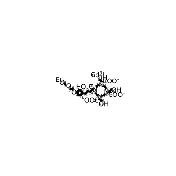 CCOCCOCCOc1ccc(CCC[C@@H](C(=O)O)N2CCN([C@H](CO)C(=O)[O-])CCN([C@H](CO)C(=O)[O-])CCN([C@H](CO)C(=O)[O-])CC2)cc1.[Gd+3]